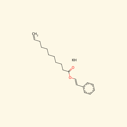 C=CCCCCCCCCC(=O)OC=Cc1ccccc1.[KH]